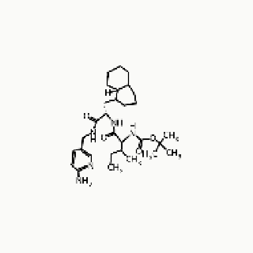 CCC(C)C(NC(=O)OC(C)(C)C)C(=O)N[C@@H](CC1CCCC2CCCC[C@H]21)C(=O)NCc1ccc(N)nc1